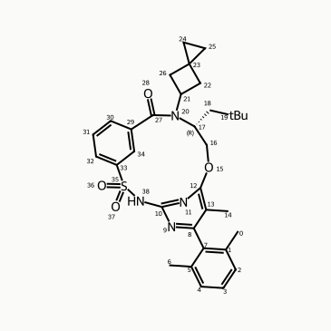 Cc1cccc(C)c1-c1nc2nc(c1C)OC[C@@H](CC(C)(C)C)N(C1CC3(CC3)C1)C(=O)c1cccc(c1)S(=O)(=O)N2